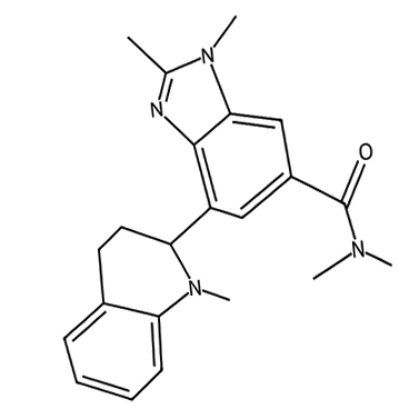 Cc1nc2c(C3CCc4ccccc4N3C)cc(C(=O)N(C)C)cc2n1C